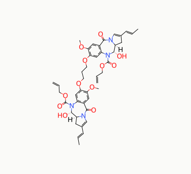 C=CCOC(=O)N1c2cc(OCCCOc3cc4c(cc3OC)C(=O)N3C=C(/C=C/C)C[C@H]3[C@H](O)N4C(=O)OCC=C)c(OC)cc2C(=O)N2C=C(/C=C/C)C[C@H]2[C@@H]1O